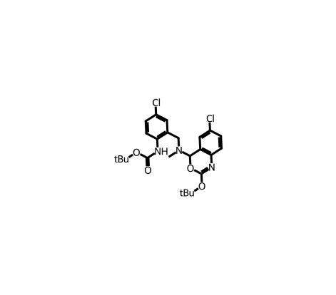 CN(Cc1cc(Cl)ccc1NC(=O)OC(C)(C)C)C1OC(OC(C)(C)C)=Nc2ccc(Cl)cc21